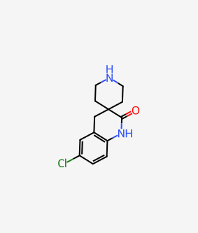 O=C1Nc2ccc(Cl)cc2CC12CCNCC2